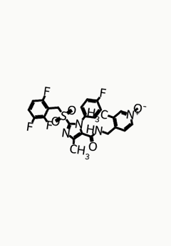 Cc1c[n+]([O-])ccc1CNC(=O)c1c(C)nc(S(=O)(=O)Cc2c(F)ccc(F)c2F)n1-c1ccc(F)cc1